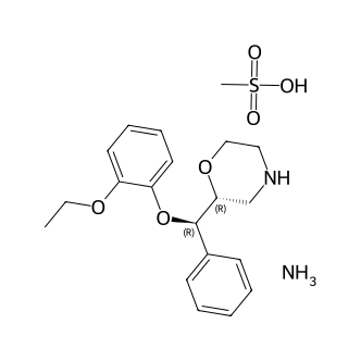 CCOc1ccccc1O[C@H](c1ccccc1)[C@H]1CNCCO1.CS(=O)(=O)O.N